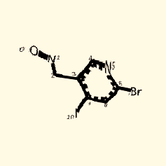 O=NCc1cnc(Br)cc1I